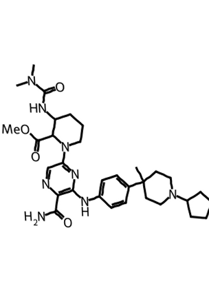 COC(=O)C1C(NC(=O)N(C)C)CCCN1c1cnc(C(N)=O)c(Nc2ccc(C3(C)CCN(C4CCCC4)CC3)cc2)n1